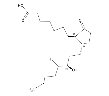 CCCCC(F)[C@H](O)CC[C@H]1CCC(=O)[C@@H]1CCCCCCC(=O)O